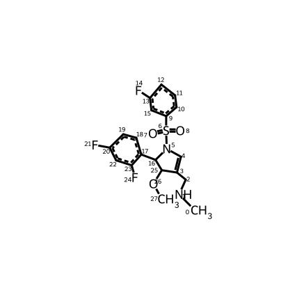 CNCC1=CN(S(=O)(=O)c2cccc(F)c2)C(c2ccc(F)cc2F)C1OC